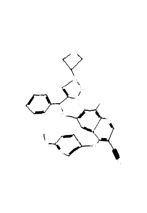 COc1ccc(Nc2c(C#N)cnc3c(Cl)cc(N[C@H](C4=CN(C5COC5)NN4)c4ccccc4)cc23)cn1